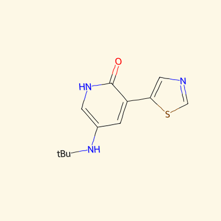 CC(C)(C)Nc1c[nH]c(=O)c(-c2cncs2)c1